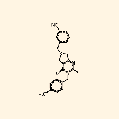 Cc1nc2c(c(=O)n1Cc1ccc(C(F)(F)F)cc1)CN(Cc1cccc(C#N)c1)C2